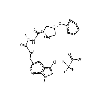 C[C@H](NC(=O)[C@H]1C[C@H](Oc2ccccc2)CN1)C(=O)NCc1cnc2c(c1)c(Cl)cn2C.O=C(O)C(F)(F)F